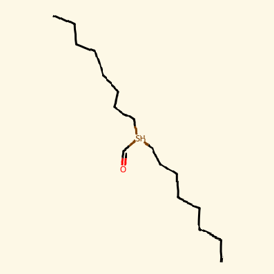 CCCCCCCC[SH](C=O)CCCCCCCC